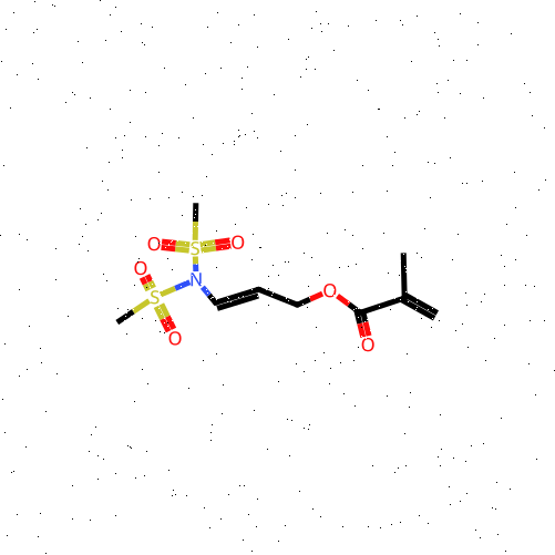 C=C(C)C(=O)OCC=CN(S(C)(=O)=O)S(C)(=O)=O